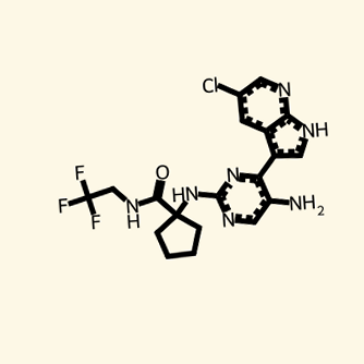 Nc1cnc(NC2(C(=O)NCC(F)(F)F)CCCC2)nc1-c1c[nH]c2ncc(Cl)cc12